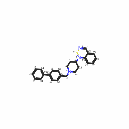 C1=NSN(C2CCN(Cc3ccc(-c4ccccc4)cc3)CC2)c2ccccc21